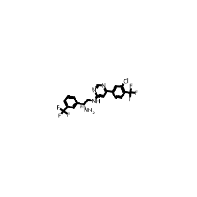 N[C@@H](CNc1cc(-c2ccc(C(F)(F)F)c(Cl)c2)ncn1)c1cccc(C(F)(F)F)c1